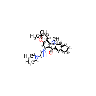 CCN(CC)CCNc1cc2c(c3c1c(=O)c1cc4ccccc4cc1n3C)C=CC(C)(C)O2